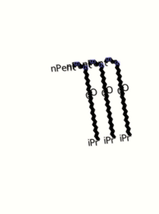 CCCCC/C=C\C/C=C\CCCCCCCC(=O)OCCCCCCCCCCCCCCCC(C)C.CCCCC/C=C\C/C=C\CCCCCCCC(=O)OCCCCCCCCCCCCCCCC(C)C.CCCCC/C=C\C/C=C\CCCCCCCC(=O)OCCCCCCCCCCCCCCCC(C)C